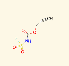 C#CCOC(=O)NS(=O)(=O)F